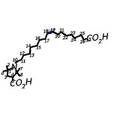 CC1(C)CC(C(=O)O)C(C)(C)N1CCCCCCCC/C=C\CCCCCCCC(=O)O